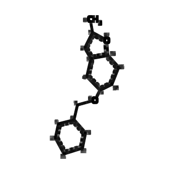 Cc1cc2cc(OCc3ccccc3)ccc2o1